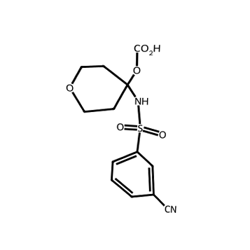 N#Cc1cccc(S(=O)(=O)NC2(OC(=O)O)CCOCC2)c1